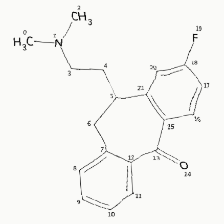 CN(C)CCC1Cc2ccccc2C(=O)c2ccc(F)cc21